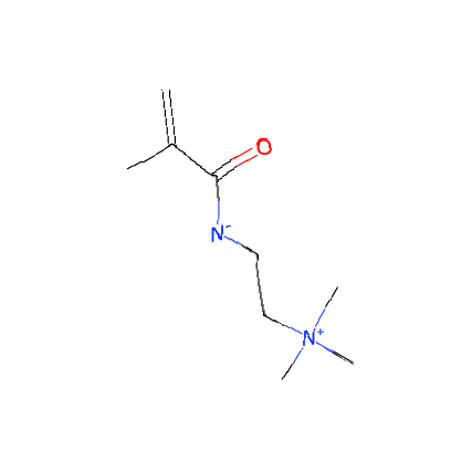 C=C(C)C(=O)[N-]CC[N+](C)(C)C